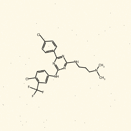 CN(C)CCCNc1nc(Nc2ccc(Cl)c(C(F)(F)F)c2)nc(-c2ccc(Cl)cc2)n1